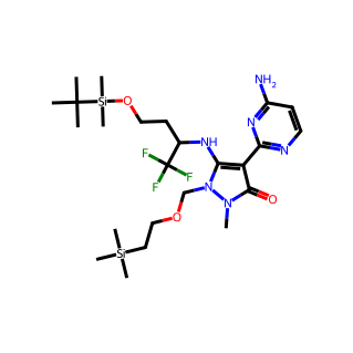 Cn1c(=O)c(-c2nccc(N)n2)c(NC(CCO[Si](C)(C)C(C)(C)C)C(F)(F)F)n1COCC[Si](C)(C)C